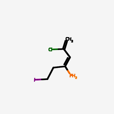 C=C(Cl)/C=C(/P)CCI